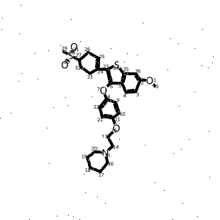 COc1ccc2c(Oc3ccc(OCCN4CCCCC4)cc3)c(C3=CCC(S(C)(=O)=O)CC3)sc2c1